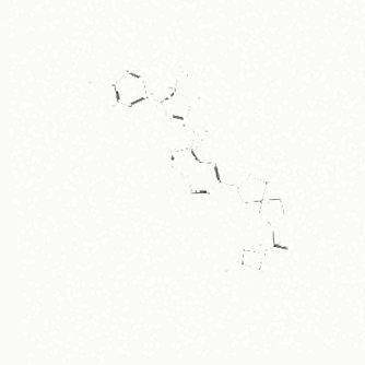 CCc1nn2ccc(N3CCC4(CCN(C(=O)N5CC(O)C5)C4)C3)cc2c1N(C)c1nc(-c2ccc(F)cc2)c(C#N)s1